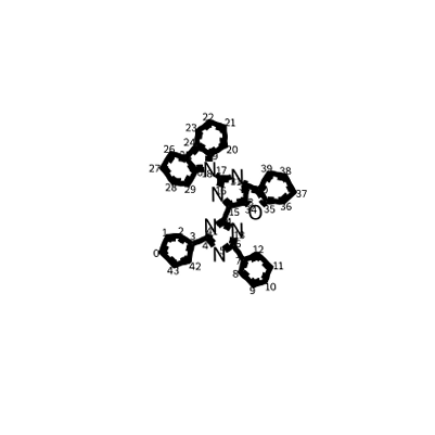 c1ccc(-c2nc(-c3ccccc3)nc(-c3nc(-n4c5ccccc5c5ccccc54)nc4c3oc3ccccc34)n2)cc1